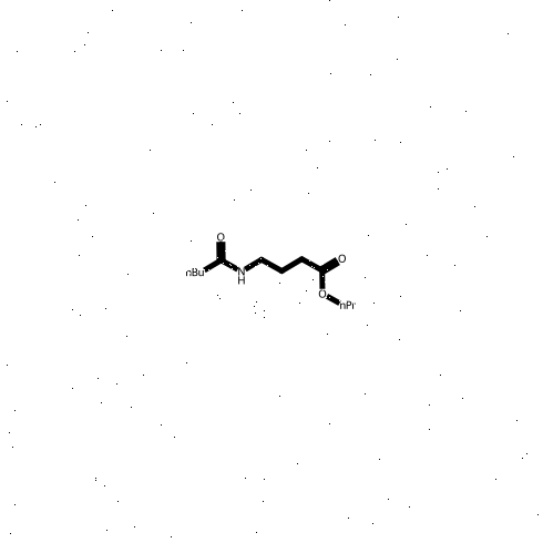 CCCCC(=O)NCCCC(=O)OCCC